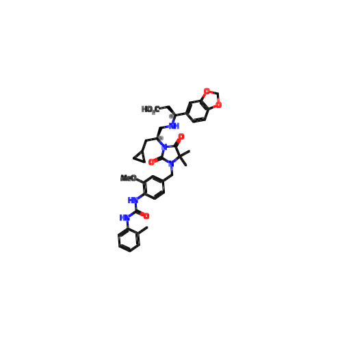 COc1cc(CN2C(=O)N([C@H](CN[C@@H](CC(=O)O)c3ccc4c(c3)OCO4)CC3CC3)C(=O)C2(C)C)ccc1NC(=O)Nc1ccccc1C